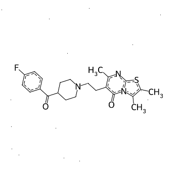 Cc1nc2sc(C)c(C)n2c(=O)c1CCN1CCC(C(=O)c2ccc(F)cc2)CC1